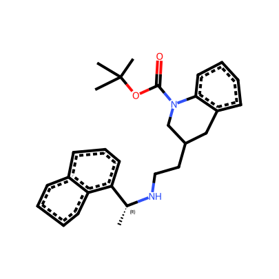 C[C@@H](NCCC1Cc2ccccc2N(C(=O)OC(C)(C)C)C1)c1cccc2ccccc12